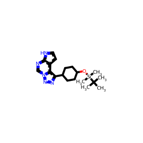 CC(C)(C)[Si](C)(C)OC1CCC(c2nnn3cnc4[nH]ccc4c23)CC1